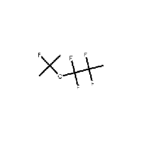 CC(C)(F)OC(F)(F)C(C)(F)F